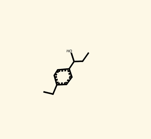 CCc1ccc(C(O)CC)cc1